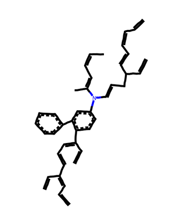 C=C/C=C\C=C\C(C=C)C/C=C/N(/C(C)=C/C=C\C)c1ccc(/C(C=C)=C/C=C/C(C=C)=C/C=C)c(-c2ccccc2)c1